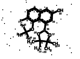 [2H]C([2H])([2H])Oc1c(F)ccc2cc(O)cc(B3OC(C)(C)C(C)(C)O3)c12